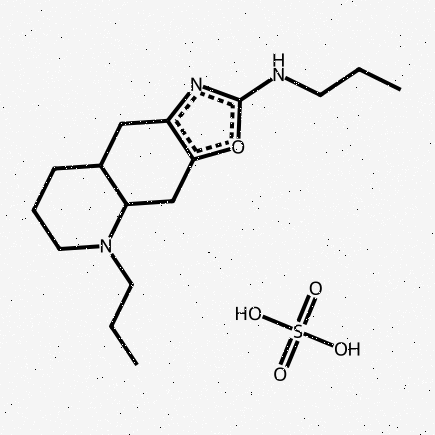 CCCNc1nc2c(o1)CC1C(CCCN1CCC)C2.O=S(=O)(O)O